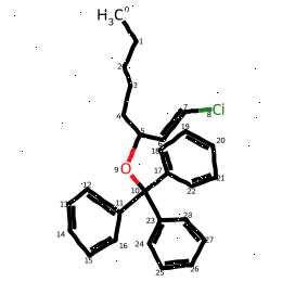 CCCCCC(C=CCl)OC(c1ccccc1)(c1ccccc1)c1ccccc1